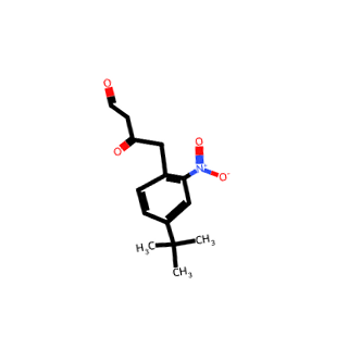 CC(C)(C)c1ccc(CC(=O)CC=O)c([N+](=O)[O-])c1